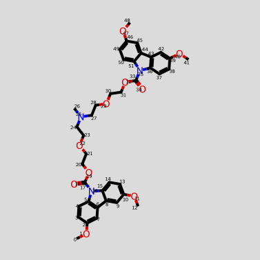 COc1ccc2c(c1)c1cc(OC)ccc1n2C(=O)OCCOCCN(C)CCOCCOC(=O)n1c2ccc(OC)cc2c2cc(OC)ccc21